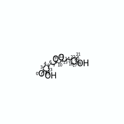 COc1ccc(C=CC(=O)CC(=O)C=Cc2ccc(O)c(C)c2)cc1O